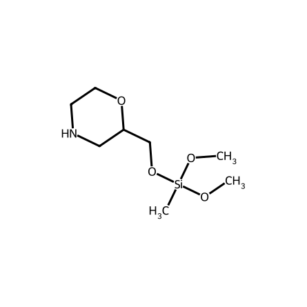 CO[Si](C)(OC)OCC1CNCCO1